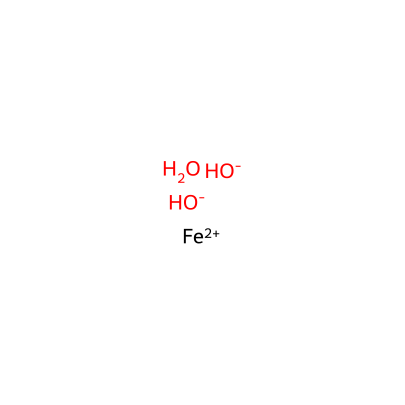 O.[Fe+2].[OH-].[OH-]